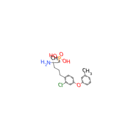 Cc1cccc(Oc2ccc(CCC[C@@](C)(N)CP(=O)(O)O)c(Cl)c2)c1